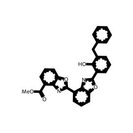 COC(=O)c1cccc2oc(-c3cccc4oc(-c5cccc(Cc6ccccc6)c5O)nc34)nc12